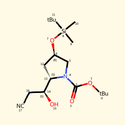 CC(C)(C)OC(=O)N1C[C@H](O[Si](C)(C)C(C)(C)C)C[C@H]1[C@@H](O)CC#N